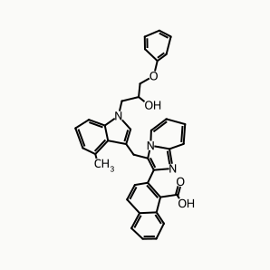 Cc1cccc2c1c(Cc1c(-c3ccc4ccccc4c3C(=O)O)nc3ccccn13)cn2CC(O)COc1ccccc1